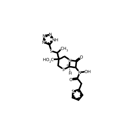 CC(Sc1nnn[nH]1)C1(C(=O)O)CS[C@@H]2C(N(O)C(=O)Cc3cccs3)C(=O)N2C1